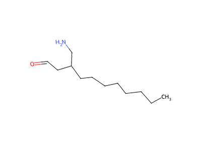 CCCCCCCCC(CN)CC=O